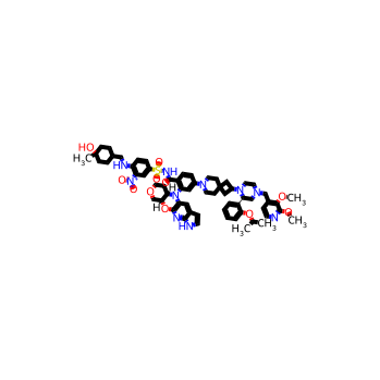 COc1nccc(CN2CCN(C3CC4(CCN(c5ccc(C(=O)NS(=O)(=O)c6ccc(NCC7CCC(C)(O)CC7)c([N+](=O)[O-])c6)c(N6c7cc8cc[nH]c8nc7O[C@H]7COCC[C@@H]76)c5)CC4)C3)[C@@H](c3ccccc3OC(C)C)C2)c1OC